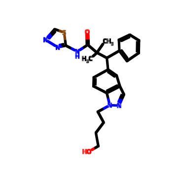 CC(C)(C(=O)Nc1nncs1)C(c1ccccc1)c1ccc2c(cnn2CCCCO)c1